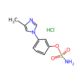 Cc1cn(-c2cccc(OS(N)(=O)=O)c2)cn1.Cl